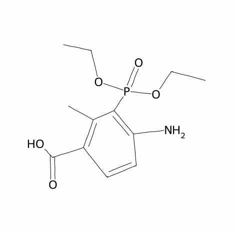 CCOP(=O)(OCC)c1c(N)ccc(C(=O)O)c1C